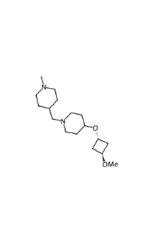 CO[C@H]1C[C@H](OC2CCN(CC3CCN(C)CC3)CC2)C1